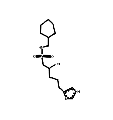 O=S(=O)(CC(O)CCCc1c[nH]cn1)NCC1CCCCC1